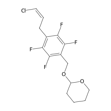 Fc1c(F)c(COC2CCCCO2)c(F)c(F)c1C/C=C\Cl